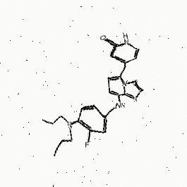 CCCN(CCC)c1ccc(Nc2ccc(-c3cc[nH]c(=O)c3)n3ccnc23)cc1F